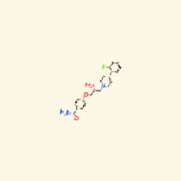 NC(=O)c1ccc(OCC(O)CN2CC=C(c3ccccc3F)CC2)cc1